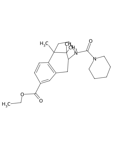 CCOC(=O)c1ccc2c(c1)CC1N(C(=O)N3CCCCC3)CCC2(C)C1(C)C